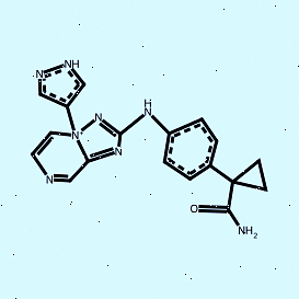 NC(=O)C1(c2ccc(NC3=N[N+]4(c5cn[nH]c5)C=CN=CC4=N3)cc2)CC1